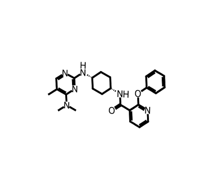 Cc1cnc(N[C@H]2CC[C@@H](NC(=O)c3cccnc3Oc3ccccc3)CC2)nc1N(C)C